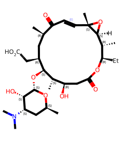 CC[C@H]1OC(=O)C[C@@H](O)[C@H](C)[C@@H](O[C@@H]2O[C@@H](C)C[C@H](N(C)C)[C@@H]2O)[C@@H](CC(=O)O)C[C@@H](C)C(=O)/C=C/[C@]2(C)O[C@H]2[C@@H]1C